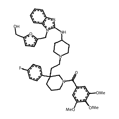 COc1cc(C(=O)N2CCCC(CCN3CCC(Nc4nc5ccccc5n4Cc4ccc(CO)o4)CC3)(c3ccc(F)cc3)C2)cc(OC)c1OC